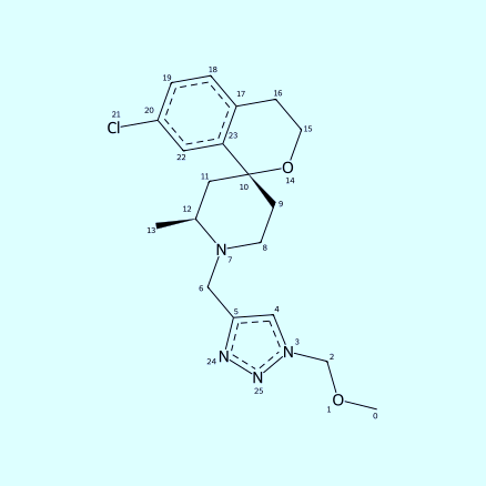 COCn1cc(CN2CC[C@]3(C[C@@H]2C)OCCc2ccc(Cl)cc23)nn1